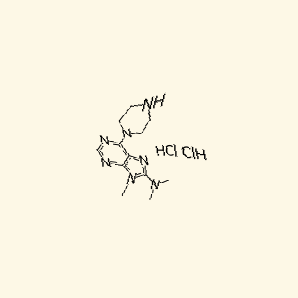 CN(C)c1nc2c(N3CCNCC3)ncnc2n1C.Cl.Cl